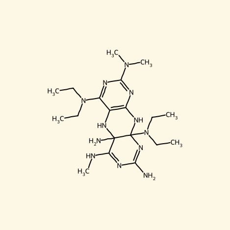 CCN(CC)c1nc(N(C)C)nc2c1NC1(N)C(NC)=NC(N)=NC1(N(CC)CC)N2